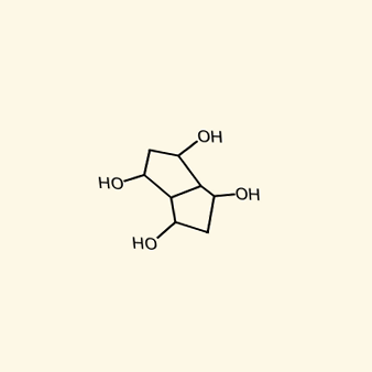 OC1CC(O)C2C(O)CC(O)C12